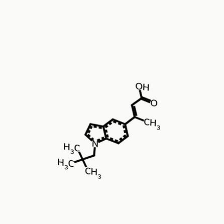 CC(=CC(=O)O)c1ccc2c(ccn2CC(C)(C)C)c1